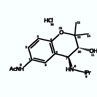 CC(=O)Nc1ccc2c(c1)[C@H](NC(C)C)[C@@H](O)C(C)(C)O2.Cl